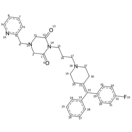 O=C1CN(Cc2ccccn2)CC(=O)N1CCCN1CCC(=C(c2ccccc2)c2ccc(F)cc2)CC1